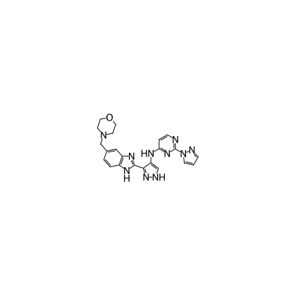 c1cnn(-c2nccc(Nc3c[nH]nc3-c3nc4cc(CN5CCOCC5)ccc4[nH]3)n2)c1